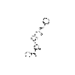 O=C(Cc1nc(-c2c[nH]c(C(=O)N3CCCC3)c2)cs1)NCc1ccccc1